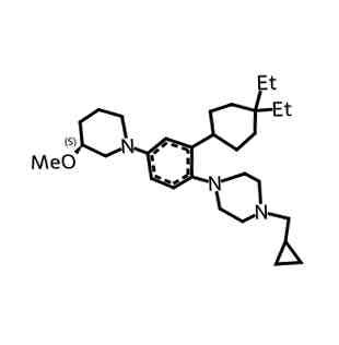 CCC1(CC)CCC(c2cc(N3CCC[C@H](OC)C3)ccc2N2CCN(CC3CC3)CC2)CC1